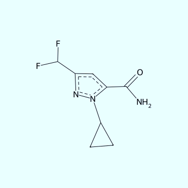 NC(=O)c1cc(C(F)F)nn1C1CC1